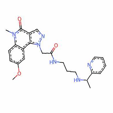 COc1ccc2c(c1)c1c(cnn1CC(=O)NCCCNC(C)c1ccccn1)c(=O)n2C